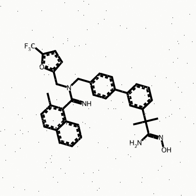 Cc1ccc2ccccc2c1C(=N)N(Cc1ccc(-c2cccc(C(C)(C)/C(N)=N/O)c2)cc1)Cc1ccc(C(F)(F)F)o1